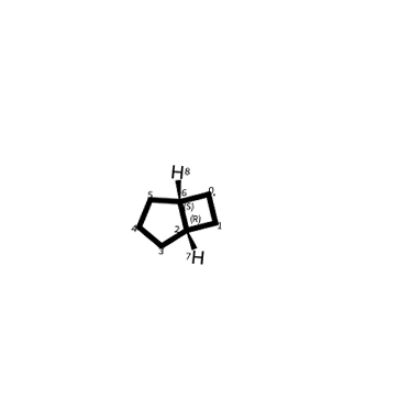 [CH]1C[C@@H]2CCC[C@H]12